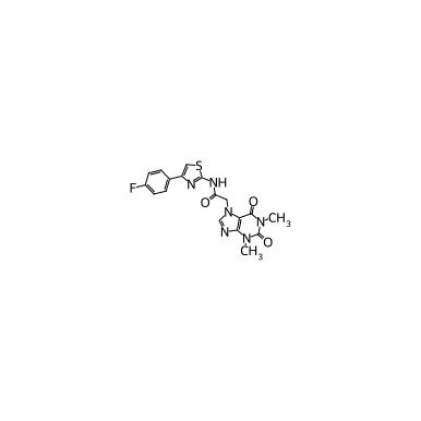 Cn1c(=O)c2c(ncn2CC(=O)Nc2nc(-c3ccc(F)cc3)cs2)n(C)c1=O